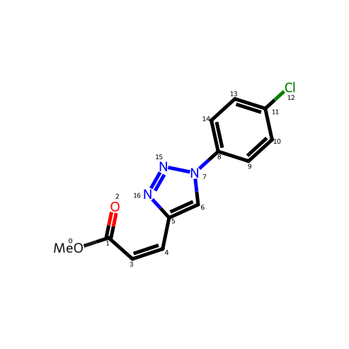 COC(=O)/C=C\c1cn(-c2ccc(Cl)cc2)nn1